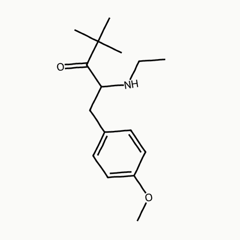 CCNC(Cc1ccc(OC)cc1)C(=O)C(C)(C)C